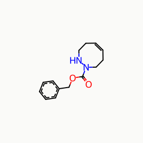 O=C(OCc1ccccc1)N1CC/C=C\CCN1